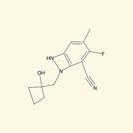 Cc1cc2[nH]n(CC3(O)CCC3)c2c(C#N)c1F